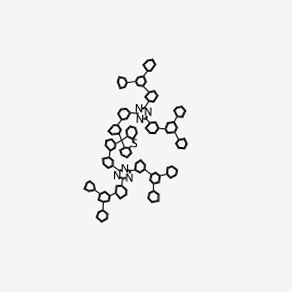 c1ccc(-c2cc(-c3ccccc3)cc(-c3cccc(-c4nc(-c5cccc(-c6cc(-c7ccccc7)cc(-c7ccccc7)c6)c5)nc(-c5cccc(-c6cccc(C7(c8cccc(-c9cccc(-c%10nc(-c%11cccc(-c%12cc(-c%13ccccc%13)cc(-c%13ccccc%13)c%12)c%11)nc(-c%11cccc(-c%12cc(-c%13ccccc%13)cc(-c%13ccccc%13)c%12)c%11)n%10)c9)c8)c8ccccc8Sc8ccccc87)c6)c5)n4)c3)c2)cc1